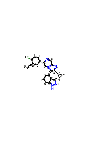 Fc1ccc(-c2cn3c(-c4cccc5[nH]ncc45)c(C4CC4)nc3cn2)cc1C(F)(F)F